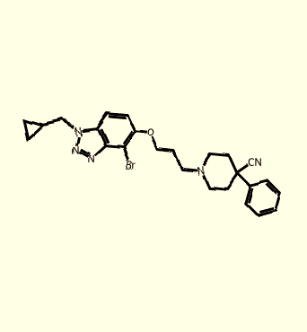 N#CC1(c2ccccc2)CCN(CCCOc2ccc3c(nnn3CC3CC3)c2Br)CC1